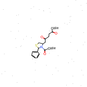 COC(=O)CCC(=O)CC1CSC(c2ccccc2)N1C(=O)OC